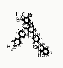 Cc1c(Br)cc(CC(NC(=NC#N)N2CCC(N3Cc4ccccc4NC3=O)CC2)C(=O)N2CCC(C3CCN(C)CC3)CC2)cc1Br